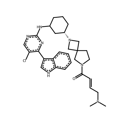 CN(C)C/C=C/C(=O)N1CCC2(C1)CN([C@H]1CCCC(Nc3ncc(Cl)c(-c4c[nH]c5ccccc45)n3)C1)C2